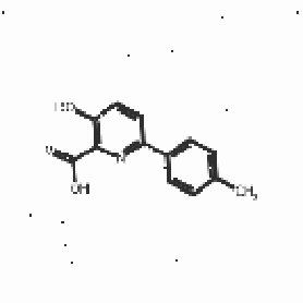 Cc1ccc(-c2ccc(O)c(C(=O)O)n2)cc1